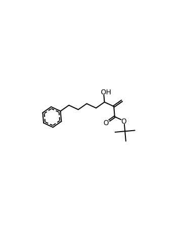 C=C(C(=O)OC(C)(C)C)C(O)CCCCc1ccccc1